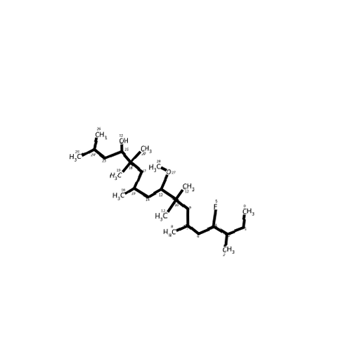 CCC(C)C(F)CC(C)CC(C)(C)C(CC(C)CC(C)(C)C(O)CC(C)C)OC